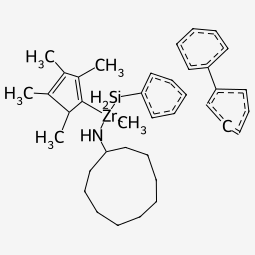 CC1=C(C)C(C)[C]([Zr]([CH3])([NH]C2CCCCCCCCC2)[SiH2]c2ccccc2)=C1C.c1ccc(-c2ccccc2)cc1